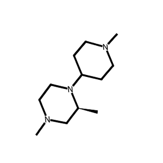 C[C@H]1CN(C)CCN1C1CCN(C)CC1